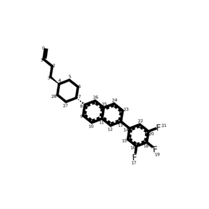 C=CCC[C@H]1CC[C@H](c2ccc3cc(-c4cc(F)c(F)c(F)c4)ccc3c2)CC1